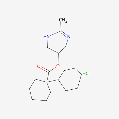 CC1=NCC(OC(=O)C2(C3CCCCC3)CCCCC2)CN1.Cl